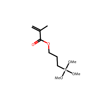 C=C(C)C(=O)OCC[CH2][Ti]([O]C)([O]C)[O]C